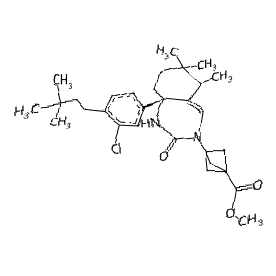 COC(=O)C12CC(N3C=C4C(C)C(C)(C)CC[C@@]4(c4ccc(CCC(C)(C)C)c(Cl)c4)NC3=O)(C1)C2